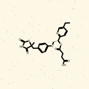 CCc1ccc([C@@H](COc2ccc(CC3(C)SC(=O)NC3=O)cc2)OC(=O)CCC(=O)O)nc1